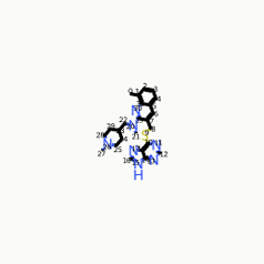 Cc1cccc2cc(CSc3ncnc4[nH]cnc34)c(N(C)CC3CCN(C)CC3)nc12